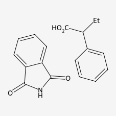 CCC(C(=O)O)c1ccccc1.O=C1NC(=O)c2ccccc21